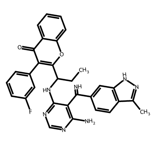 CCC(Nc1ncnc(N)c1C(=N)c1ccc2c(C)n[nH]c2c1)c1oc2ccccc2c(=O)c1-c1cccc(F)c1